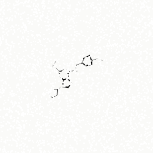 CNc1nc(NCc2ccc(OC)cc2)c2ncn(C3CCCO3)c2n1